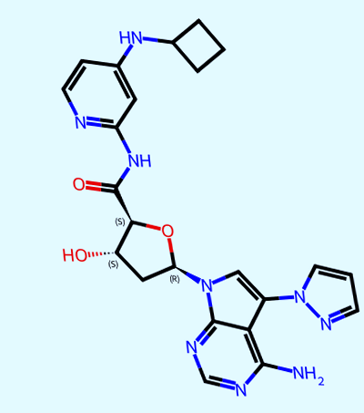 Nc1ncnc2c1c(-n1cccn1)cn2[C@H]1C[C@H](O)[C@@H](C(=O)Nc2cc(NC3CCC3)ccn2)O1